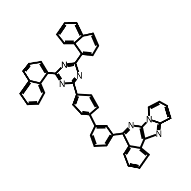 c1cc(-c2ccc(-c3nc(-c4cccc5ccccc45)nc(-c4cccc5ccccc45)n3)cc2)cc(-c2nc3c(nc4ccccn43)c3ccccc23)c1